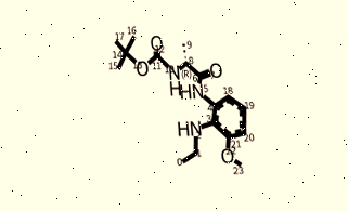 CCNc1c(NC(=O)[C@@H](C)NC(=O)OC(C)(C)C)cccc1OC